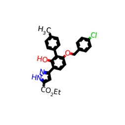 CCOC(=O)c1cc(-c2ccc(OCc3ccc(Cl)cc3)c(-c3ccc(C)cc3)c2O)n[nH]1